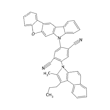 CCCc1c(C)n(-c2cc(C#N)c(-n3c4ccccc4c4cc5c(cc43)oc3ccccc35)cc2C#N)c2ccc3ccccc3c12